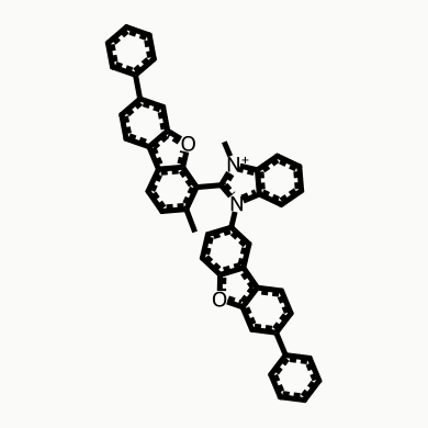 Cc1ccc2c(oc3cc(-c4ccccc4)ccc32)c1-c1n(-c2ccc3oc4cc(-c5ccccc5)ccc4c3c2)c2ccccc2[n+]1C